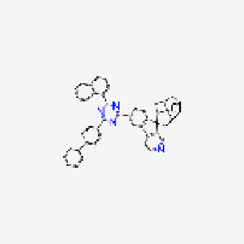 c1ccc(-c2ccc(-c3nc(-c4ccc5c(c4)-c4ccncc4C54C5CC6CC7CC4C7(C6)C5)nc(-c4cccc5ccccc45)n3)cc2)cc1